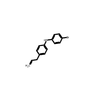 C=CCc1ccc(Nc2ccc(Br)cc2)cc1